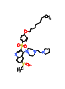 CCCCCCCOc1ccc(S(=O)(=O)c2cnc3ccc([S+](C)[O-])cc3c2N2CCN(CCN3CCCC3)CC2)cc1